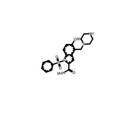 CNC(=O)c1cc2c(CN3CCNCC3)c(OC)ccc2n1S(=O)(=O)c1ccccc1